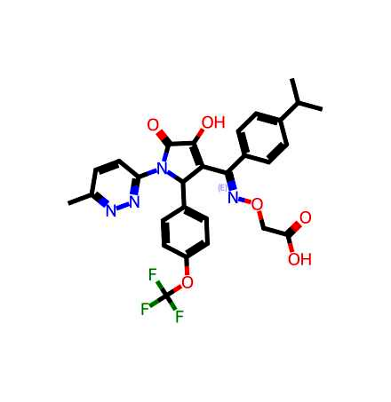 Cc1ccc(N2C(=O)C(O)=C(/C(=N/OCC(=O)O)c3ccc(C(C)C)cc3)C2c2ccc(OC(F)(F)F)cc2)nn1